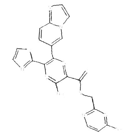 Nc1ccnc(CNC(=O)c2nc(-c3ccc4nccn4c3)c(-c3ncco3)nc2N)n1